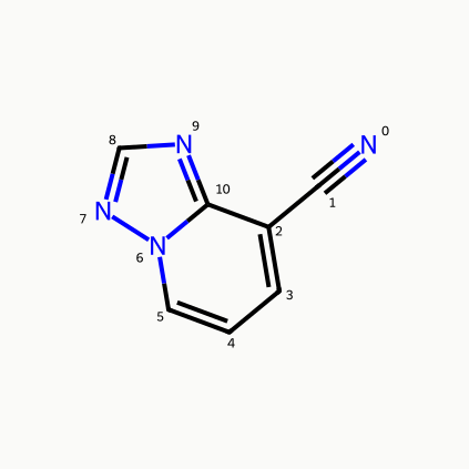 N#Cc1cccn2ncnc12